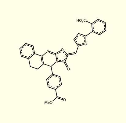 COC(=O)c1ccc(C2C3=C(N=c4o/c(=C\c5ccc(-c6ccccc6C(=O)O)o5)c(=O)n42)c2ccccc2CC3)cc1